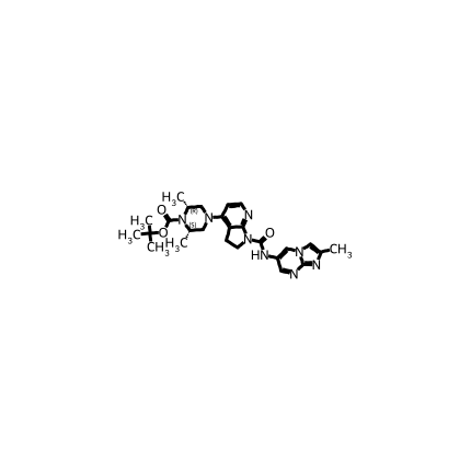 Cc1cn2cc(NC(=O)N3CCc4c(N5C[C@@H](C)N(C(=O)OC(C)(C)C)[C@@H](C)C5)ccnc43)cnc2n1